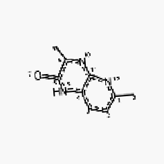 Cc1ccc2[nH]c(=O)c(C)nc2n1